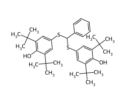 CC(C)(C)c1cc(SC(Sc2cc(C(C)(C)C)c(O)c(C(C)(C)C)c2)c2ccccc2)cc(C(C)(C)C)c1O